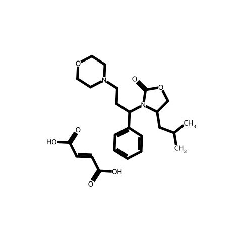 CC(C)CC1COC(=O)N1C(CCN1CCOCC1)c1ccccc1.O=C(O)C=CC(=O)O